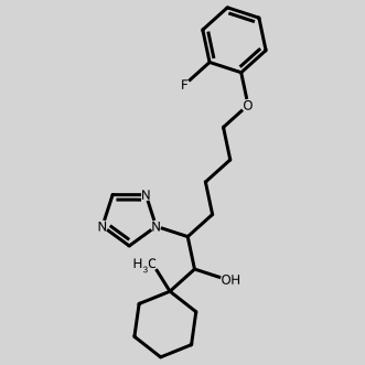 CC1(C(O)C(CCCCOc2ccccc2F)n2cncn2)CCCCC1